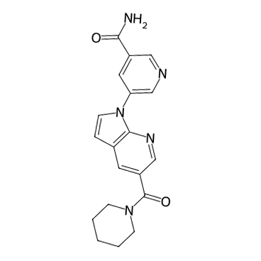 NC(=O)c1cncc(-n2ccc3cc(C(=O)N4CCCCC4)cnc32)c1